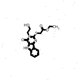 CCOC(=O)CSc1nc2c([nH]c3ccccc32)c(=O)n1CCO